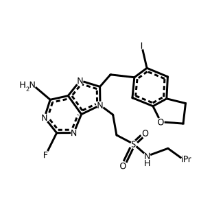 CC(C)CNS(=O)(=O)CCn1c(Cc2cc3c(cc2I)CCO3)nc2c(N)nc(F)nc21